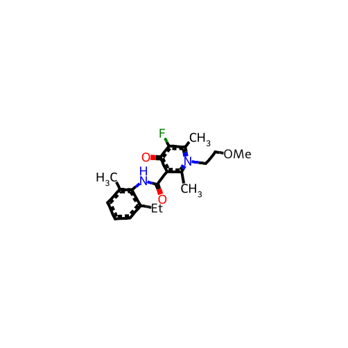 CCc1cccc(C)c1NC(=O)c1c(C)n(CCOC)c(C)c(F)c1=O